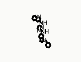 c1ccc2ncc(Nc3ccnc(Nc4ccc5ccn(CC6CCCCC6)c5c4)n3)cc2c1